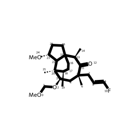 COCO[C@@H]1C[C@@](C)(CC=CF)C(=O)[C@H](C)C23CC[C@@H](C)[C@]1(C)C2[C@H](OC)CC3